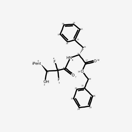 CCC[C@H](C)C(O)C(F)(F)C(=O)N[C@H](Cc1ccccc1)C(=O)OCc1ccccc1